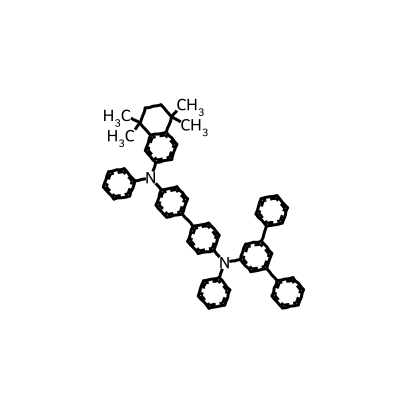 CC1(C)CCC(C)(C)c2cc(N(c3ccccc3)c3ccc(-c4ccc(N(c5ccccc5)c5cc(-c6ccccc6)cc(-c6ccccc6)c5)cc4)cc3)ccc21